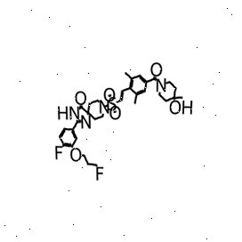 Cc1cc(C(=O)N2CCC(C)(O)CC2)cc(C)c1C=CS(=O)(=O)N1CCC2(CC1)N=C(c1ccc(F)c(OCCCF)c1)NC2=O